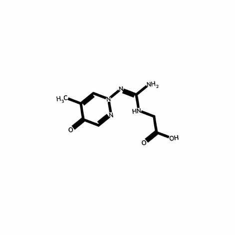 Cc1cn(N=C(N)NCC(=O)O)ncc1=O